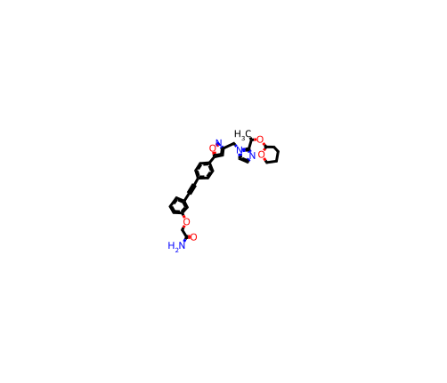 CC(OC1CCCCO1)c1nccn1Cc1cc(-c2ccc(C#Cc3cccc(OCC(N)=O)c3)cc2)on1